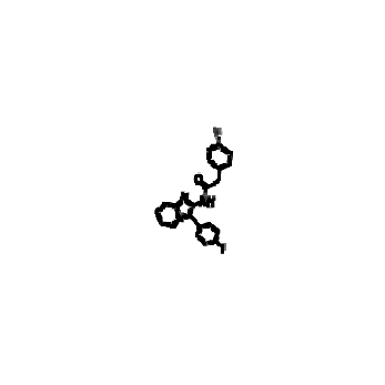 O=C(Cc1ccc(F)cc1)Nc1nc2ccccn2c1-c1ccc(F)cc1